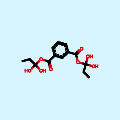 CCC(O)(O)OC(=O)c1cccc(C(=O)OC(O)(O)CC)c1